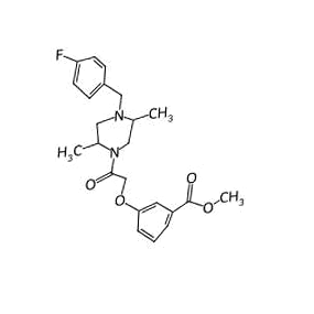 COC(=O)c1cccc(OCC(=O)N2CC(C)N(Cc3ccc(F)cc3)CC2C)c1